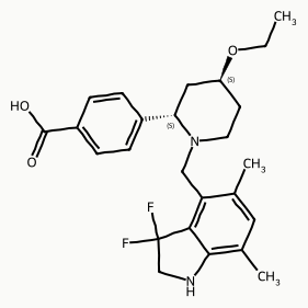 CCO[C@H]1CCN(Cc2c(C)cc(C)c3c2C(F)(F)CN3)[C@H](c2ccc(C(=O)O)cc2)C1